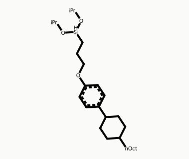 CCCCCCCCC1CCC(c2ccc(OCCC[SiH](OC(C)C)OC(C)C)cc2)CC1